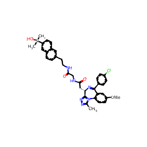 COc1ccc2c(c1)C(c1ccc(Cl)cc1)=N[C@@H](CC(=O)NCC(=O)NCCc1ccc3cc([Si](C)(C)O)ccc3c1)c1nnc(C)n1-2